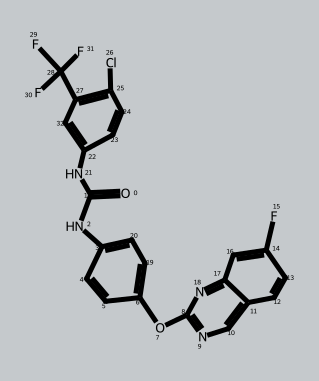 O=C(Nc1ccc(Oc2ncc3ccc(F)cc3n2)cc1)Nc1ccc(Cl)c(C(F)(F)F)c1